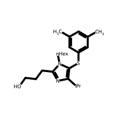 CCCCCCn1c(CCCO)nc(C(C)C)c1Sc1cc(C)cc(C)c1